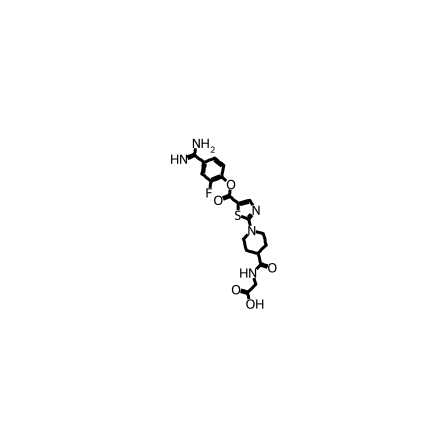 N=C(N)c1ccc(OC(=O)c2cnc(N3CCC(C(=O)NCC(=O)O)CC3)s2)c(F)c1